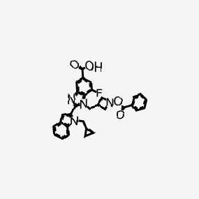 O=C(O)c1cc(F)c2c(c1)nc(-c1cc3ccccc3n1CC1CC1)n2CC1CN(OC(=O)c2ccccc2)C1